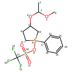 COC(C)OC1CCS(OS(=O)(=O)C(F)(F)F)(c2ccccc2)C1